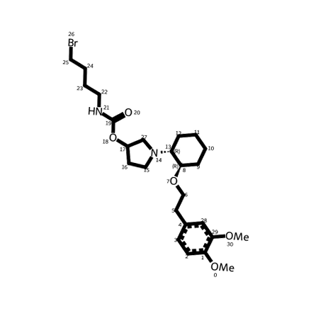 COc1ccc(CCO[C@@H]2CCCC[C@H]2N2CCC(OC(=O)NCCCCBr)C2)cc1OC